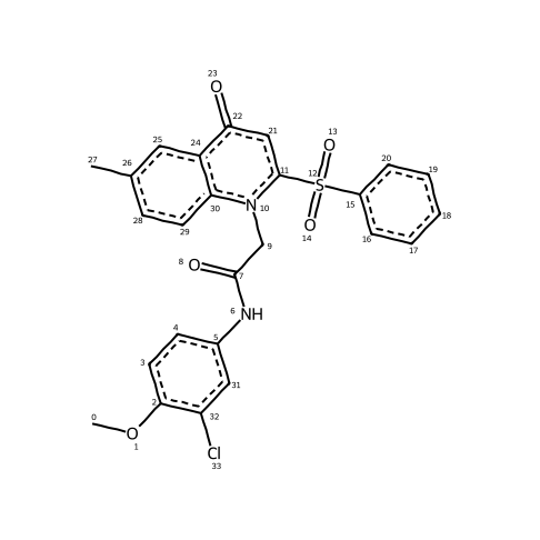 COc1ccc(NC(=O)Cn2c(S(=O)(=O)c3ccccc3)cc(=O)c3cc(C)ccc32)cc1Cl